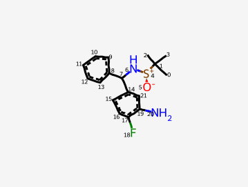 CC(C)(C)[S@@+]([O-])NC(c1ccccc1)c1ccc(F)c(N)c1